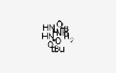 BC(=O)NC(=N)NC(=O)OC(C)(C)C